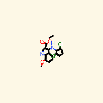 CCOC(=O)c1cnc2c(OC)cccc2c1Nc1c(Cl)cccc1Cl